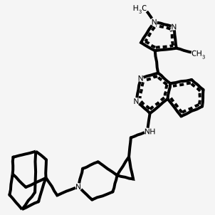 Cc1nn(C)cc1-c1nnc(NCC2CC23CCN(CC24CC5CC(CC(C5)C2)C4)CC3)c2ccccc12